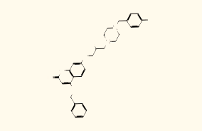 O=c1cc(OCc2ccccc2)c2ccc(OCC(O)CN3CCN(Cc4ccc(Cl)cc4)CC3)cc2o1